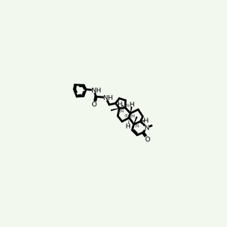 CN1C(=O)C=C[C@]2(C)[C@H]3CC[C@]4(C)C(CNC(=O)Nc5ccccc5)CC[C@H]4[C@@H]3CC[C@@H]12